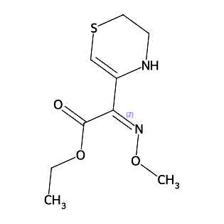 CCOC(=O)/C(=N\OC)C1=CSCCN1